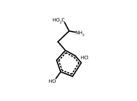 Cl.NC(Cc1cccc(O)c1)C(=O)O